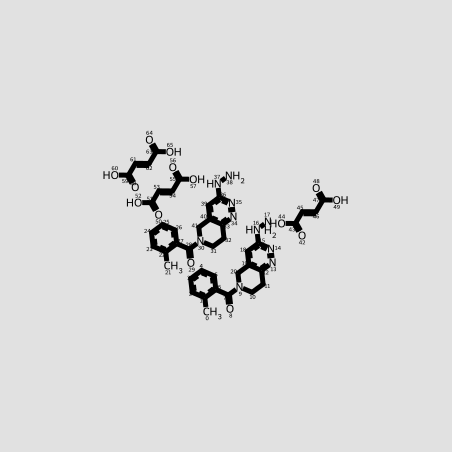 Cc1ccccc1C(=O)N1CCc2nnc(NN)cc2C1.Cc1ccccc1C(=O)N1CCc2nnc(NN)cc2C1.O=C(O)/C=C/C(=O)O.O=C(O)/C=C/C(=O)O.O=C(O)/C=C/C(=O)O